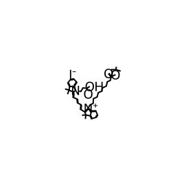 CC(C)(C)OC(=O)CCCCCCCCCC[N+]1=C(C=CC=CC=C2N(CCC(=O)O)c3ccccc3C2(C)C)C(C)(C)c2ccccc21.[I-]